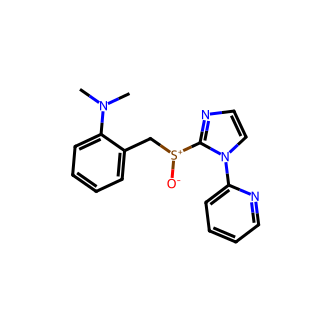 CN(C)c1ccccc1C[S+]([O-])c1nccn1-c1ccccn1